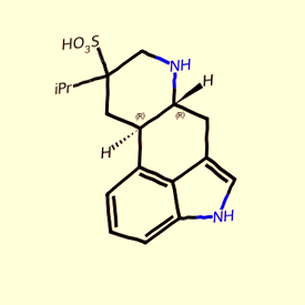 CC(C)C1(S(=O)(=O)O)CN[C@@H]2Cc3c[nH]c4cccc(c34)[C@H]2C1